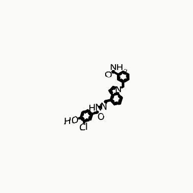 NC(=O)c1cccc(Cn2ccc3c(/C=N/NC(=O)c4ccc(O)c(Cl)c4)cccc32)c1